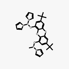 CP(Oc1cc(C(C)(C)C)cc2c1Oc1c(OP(n3cccc3)n3cccc3)cc(C(C)(C)C)cc1S2)n1cccc1